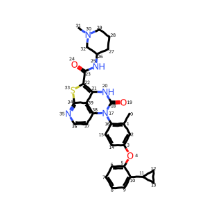 Cc1cc(Oc2ccccc2C2CC2)ccc1N1C(=O)Nc2c(C(=O)NC3CCCN(C)C3)sc3nccc1c23